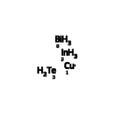 [BiH3].[Cu].[InH3].[TeH2]